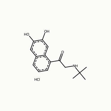 CC(C)(C)NCC(=O)c1cccc2cc(O)c(O)cc12.Cl